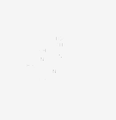 Br.CN=C(N(C)C)N(C)Cc1ccccc1